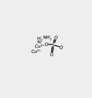 O=S(=O)([O-])[O-].[Cu+2].[Cu+2].[NH2-].[NH2-]